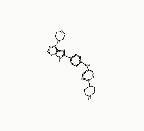 c1nc(N2CCOCC2)c2cc(-c3ccc(Nc4cnc(N5CCNCC5)nc4)cc3)[nH]c2n1